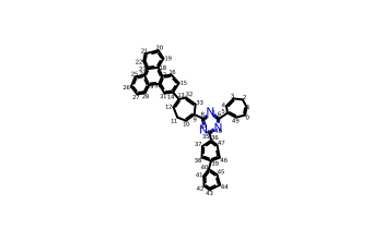 C1=CCC=CC(c2nc(C3=CCC=C(c4ccc5c6ccccc6c6ccccc6c5c4)C=C3)nc(-c3ccc(-c4ccccc4)cc3)n2)=C1